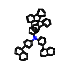 c1cc(-c2cccc3ccccc23)cc(N(c2ccc(-c3cccc4c3C3(c5ccccc5-c5ccccc53)c3ccccc3-4)cc2)c2ccc(-c3cccc4ccccc34)cc2)c1